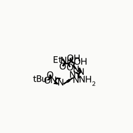 CCNC(=O)C1OC(n2cnc3c(N)nc(C#CCN4CC5CC4CN5C(=O)OC(C)(C)C)nc32)C(O)C1O